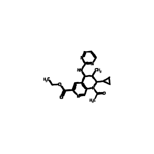 CCOC(=O)c1cc2c(cn1)N(C(C)=O)C(C1CC1)C(C)C2Nc1ncccn1